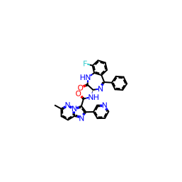 Cc1ccc2nc(-c3cccnc3)c(C(=O)N[C@H]3N=C(c4ccccc4)c4cccc(F)c4NC3=O)n2n1